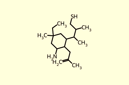 C=C(C)CC1C(N)CC(C)(CC)CC1C(C)C(C)CS